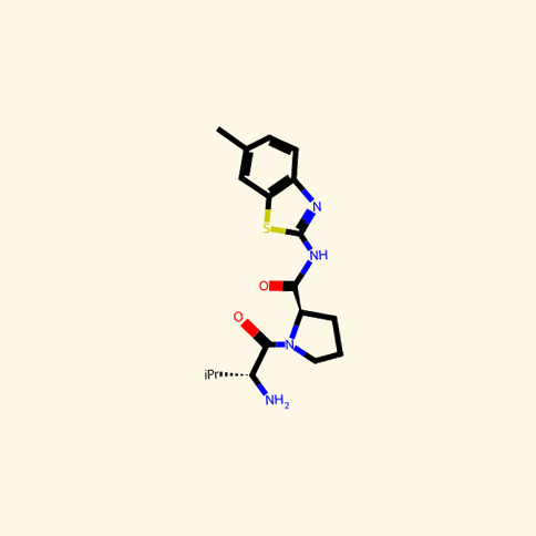 Cc1ccc2nc(NC(=O)[C@H]3CCCN3C(=O)[C@H](N)C(C)C)sc2c1